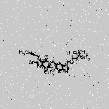 CC#CCn1c(Br)nc2c1c(=O)n(Cc1ccc3ncn(COCC[Si](C)(C)C)c3c1)c(=O)n2C